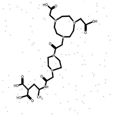 CC(CC(C(=O)O)C(=O)O)NC(=O)CN1CCN(C(=O)CN2CCN(CC(=O)O)CCN(CC(=O)O)CC2)CC1